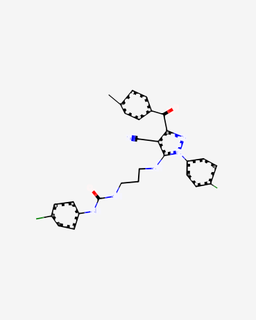 Cc1ccc(C(=O)c2nn(-c3ccc(Cl)cc3)c(NCCCNC(=O)Nc3ccc(F)cc3)c2C#N)cc1